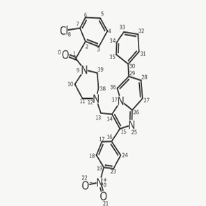 O=C(c1ccccc1Cl)N1CCN(Cc2c(-c3ccc([N+](=O)[O-])cc3)nc3ccc(-c4ccccc4)cn23)CC1